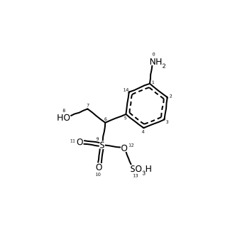 Nc1cccc(C(CO)S(=O)(=O)OS(=O)(=O)O)c1